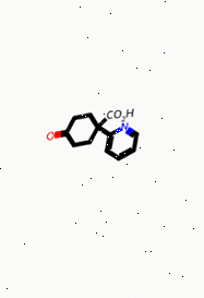 O=C1CCC(C(=O)O)(c2ccccn2)CC1